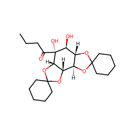 CCCC(=O)[C@@]1(O)[C@@H](O)[C@@H]2OC3(CCCCC3)O[C@H]2[C@@H]2OC3(CCCCC3)O[C@@H]21